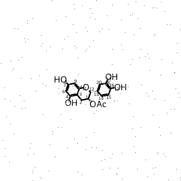 CC(=O)O[C@H]1Cc2c(O)cc(O)cc2O[C@@H]1c1ccc(O)c(O)c1